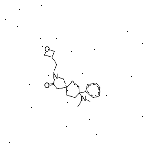 CN(C)C1(c2ccccc2)CCC2(CC1)CC(=O)N(CCC1COC1)C2